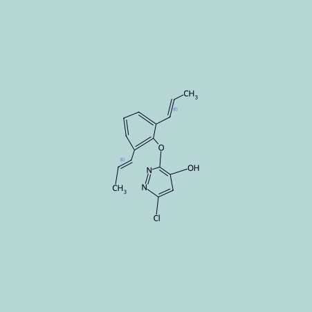 C/C=C/c1cccc(/C=C/C)c1Oc1nnc(Cl)cc1O